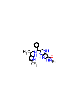 CCNC(=O)c1cnc2c(c1)NC[C@H]([C@H](NC[C@@H](C)c1ccc(C(F)(F)F)nc1)c1ccccc1)N2